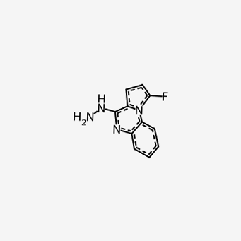 NNc1nc2ccccc2n2c(F)ccc12